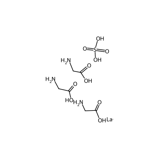 NCC(=O)O.NCC(=O)O.NCC(=O)O.O=S(=O)(O)O.[La]